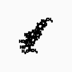 Cc1nc2ccc(C3=CCC4[C@@]56CC[C@]7(C[C@H](N(C)C)[C@@H](O)[C@H](O)C7=CC5(C#N)CC[C@]34C)O6)cc2o1